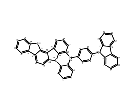 c1ccc2c(c1)N(c1ccc(-n3c4ccccc4c4ccccc43)cc1)c1cccc3c4c5sc6ccccc6c5ccc4n-2c13